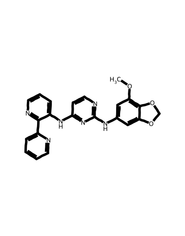 COc1cc(Nc2nccc(Nc3cccnc3-c3ccccn3)n2)cc2c1OCO2